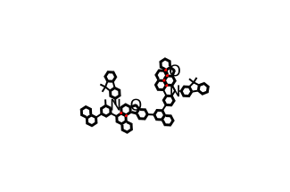 Cc1cc(-c2cccc3ccccc23)cc(-c2ccc3ccccc3c2)c1N(c1ccc2c(c1)C(C)(C)c1ccccc1-2)c1ccc2c(c1)oc1cc(-c3cc(-c4ccc(N(c5ccc6c(c5)C(C)(C)c5ccccc5-6)c5ccc6c(c5)oc5ccccc56)c(-c5ccc6ccccc6c5)c4)c4ccccc4c3)ccc12